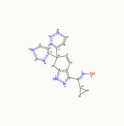 ON=C(c1n[nH]c2c1C=CC(c1ccncn1)(c1ccncn1)C2)C1CC1